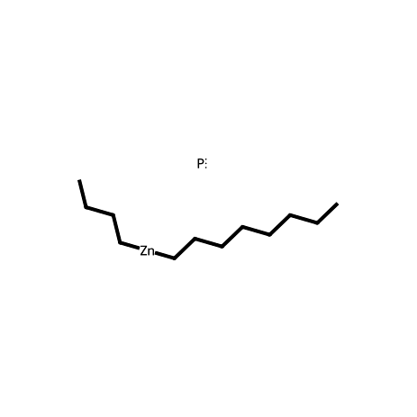 CCCCCCC[CH2][Zn][CH2]CCC.[P]